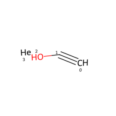 C#CO.[He]